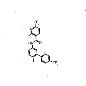 Cc1ccc(NC(=O)c2ccc(C(F)(F)F)nc2C)cc1-c1ccc(C(F)(F)F)cn1